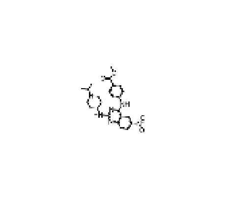 COC(=O)c1ccc(Nc2nc(NC3CCN(C(C)C)CC3)nc3ccc([N+](=O)[O-])cc23)cc1